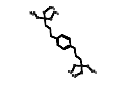 CO[Si](CCCc1ccc(CCC[Si](OC)(OC)OC)cc1)(OC)OC